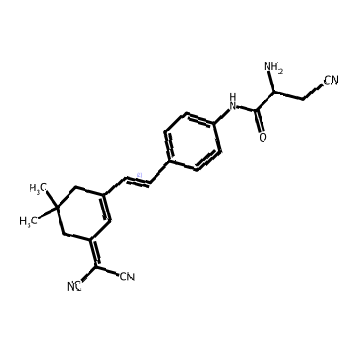 CC1(C)CC(/C=C/c2ccc(NC(=O)C(N)CC#N)cc2)=CC(=C(C#N)C#N)C1